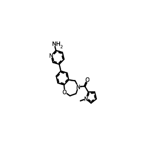 Cn1cccc1C(=O)N1CCOc2ccc(-c3ccc(N)nc3)cc2C1